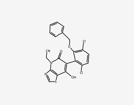 N#CCn1c(=O)c(-c2c(Cl)ccc(Cl)c2OCc2ccccc2)c(O)c2scnc21